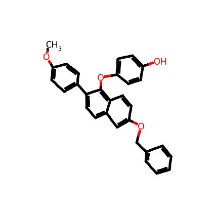 COc1ccc(-c2ccc3cc(OCc4ccccc4)ccc3c2Oc2ccc(O)cc2)cc1